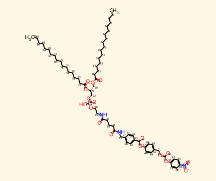 CCCCCCCCCCCCCCCCCC(=O)OC[C@H](COP(=O)(O)OCCNC(=O)CCCC(=O)NCc1ccc(C(=O)Oc2ccc(COC(=O)Oc3ccc([N+](=O)[O-])cc3)cc2)cc1)OC(=O)CCCCCCCCCCCCCCCCC